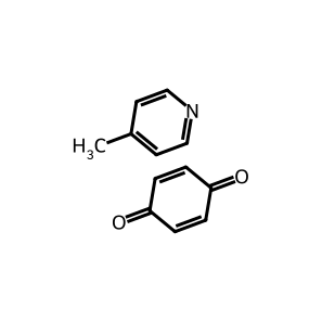 Cc1ccncc1.O=C1C=CC(=O)C=C1